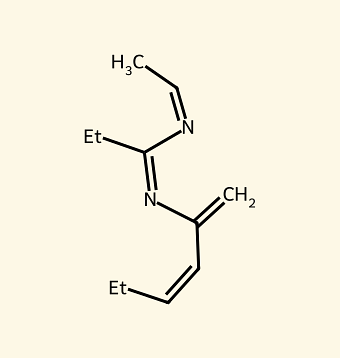 C=C(/C=C\CC)/N=C(CC)\N=C/C